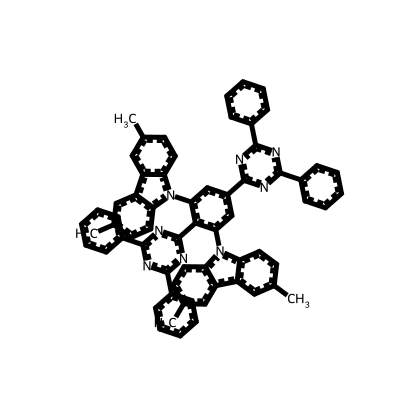 Cc1ccc2c(c1)c1cc(C)ccc1n2-c1cc(-c2nc(-c3ccccc3)nc(-c3ccccc3)n2)cc(-n2c3ccc(C)cc3c3cc(C)ccc32)c1-c1nc(-c2ccccc2)nc(-c2ccccc2)n1